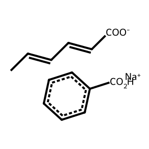 CC=CC=CC(=O)[O-].O=C(O)c1ccccc1.[Na+]